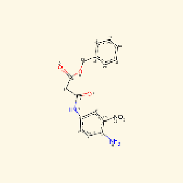 Nc1ccc(NC(=O)CC(=O)OCc2ccccc2)cc1[N+](=O)[O-]